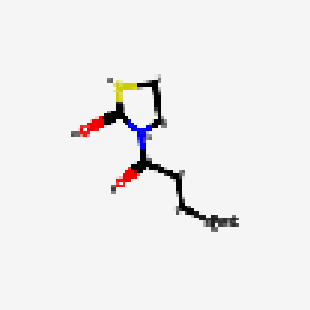 CCCCCCCC(=O)N1CCSC1=O